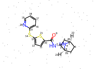 O=C(N[C@@H]1C[C@H]2CC[C@@H]1N2)c1ccc(Sc2ccccn2)s1